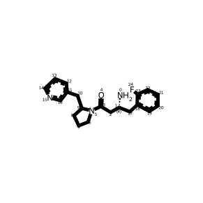 N[C@@H](CC(=O)N1CCCC1Cc1cccnc1)Cc1ccccc1F